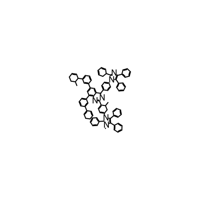 CC1CC(N2C(c3ccccc3)=C(c3ccccc3)N(C)C2c2ccccc2)=CC=C1c1nc(-c2ccc(-n3c(C4C=CC=CC4)nc(-c4ccccc4)c3-c3ccccc3)cc2)c2cc(-c3cccc(C4C=CCCC4C)c3)cc(-c3cccc(C4=CCCC=C4)c3)c2n1